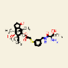 C=C[C@]1(C)C[C@@H](OC(=O)CSc2cccc(CNC(=O)[C@@H](N)[C@@H](C)O)c2)[C@]2(C)C(C)CCC3(CCC(=O)C32)[C@@H](C)[C@@H]1O